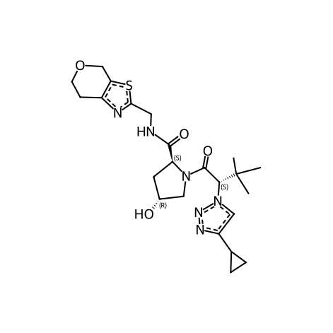 CC(C)(C)[C@@H](C(=O)N1C[C@H](O)C[C@H]1C(=O)NCc1nc2c(s1)COCC2)n1cc(C2CC2)nn1